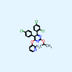 CC(C)Oc1nc(Oc2cccnc2)c(-c2ccc(Cl)cc2)c(-c2ccc(Cl)cc2Cl)n1